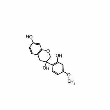 COc1ccc(C2(O)COc3cc(O)ccc3C2)c(O)c1